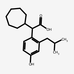 CC(C)Cc1cc(O)ccc1C(C(=O)O)C1CCCCCC1